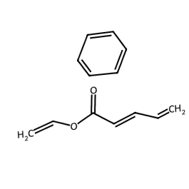 C=CC=CC(=O)OC=C.c1ccccc1